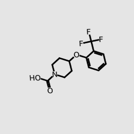 O=C(O)N1CCC(Oc2ccccc2C(F)(F)F)CC1